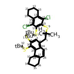 CC(C)(C)Sc1cc(CC(C)(C)Sc2c(Cl)c3c(c(Cl)c2SC(C)(C)C)CCCC3)c2ccc3c(c2c1SC(C)(C)C)CCCC3